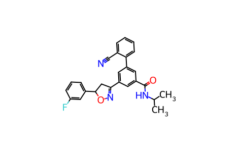 CC(C)NC(=O)c1cc(C2=NOC(c3cccc(F)c3)C2)cc(-c2ccccc2C#N)c1